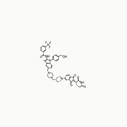 O=C1CCC(N2C(=O)c3ccc(N4CCC(CN5CCN(Cc6ccc7c(c6)nc(NC(=O)c6cccc(C(F)(F)F)c6)n7-c6ccc(CO)cc6)CC5)CC4)cc3C2=O)C(=O)N1